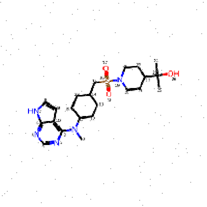 CN(c1ncnc2[nH]ccc12)C1CCC(CS(=O)(=O)N2CCC(C(C)(C)O)CC2)CC1